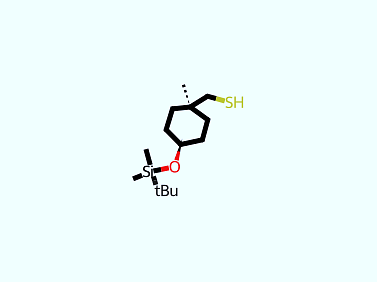 CC(C)(C)[Si](C)(C)O[C@H]1CC[C@@](C)(CS)CC1